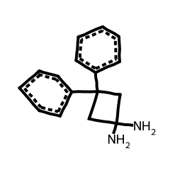 NC1(N)CC(c2ccccc2)(c2ccccc2)C1